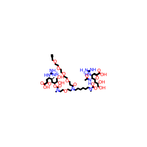 C#CCOCCOCCOCCOCCC(=O)N(CCCCCCN(C)C(=O)O[C@@H]([C@@H]1OC(C(=O)O)=C[C@H](NC(=N)N)[C@H]1NC(C)=O)[C@H](O)CO)CCOCCN(C)C(=O)O[C@@H]([C@@H]1OC(C(=O)O)=C[C@H](NC(=N)N)[C@H]1C)[C@H](O)CO